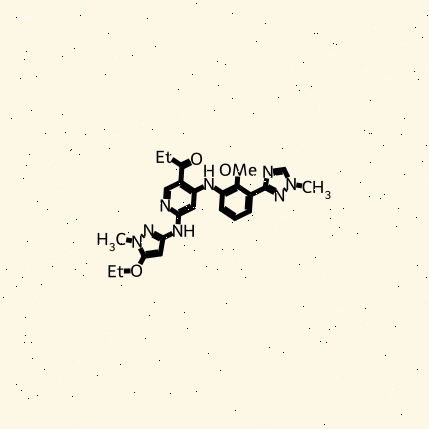 CCOc1cc(Nc2cc(Nc3cccc(-c4ncn(C)n4)c3OC)c(C(=O)CC)cn2)nn1C